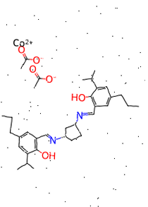 CC(=O)[O-].CC(=O)[O-].CCCc1cc(C=NC2CCC(N=Cc3cc(CCC)cc(C(C)C)c3O)C2)c(O)c(C(C)C)c1.[Co+2]